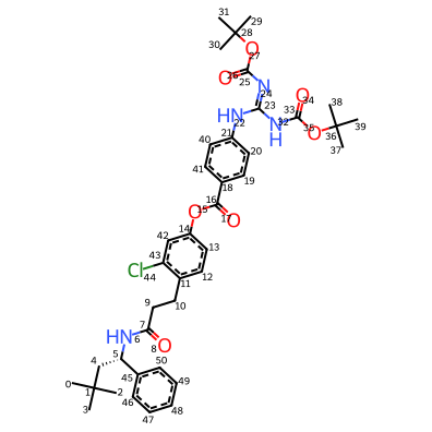 CC(C)(C)C[C@H](NC(=O)CCc1ccc(OC(=O)c2ccc(N/C(=N\C(=O)OC(C)(C)C)NC(=O)OC(C)(C)C)cc2)cc1Cl)c1ccccc1